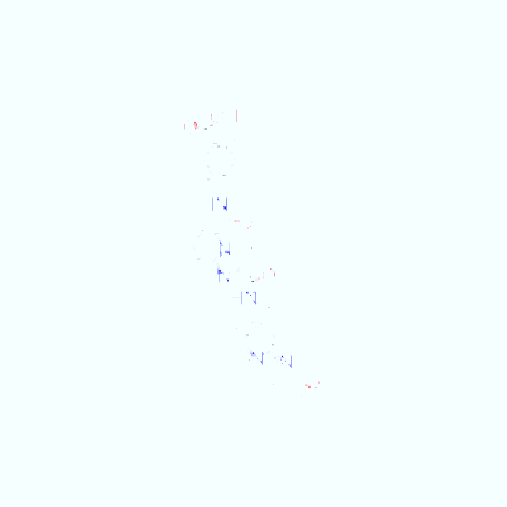 O=C(O)c1ccc(CNC(=O)c2cccc3nc(C(=O)NCc4ccnc(N5CCOCC5)c4)cn23)cc1